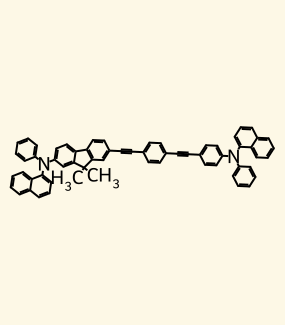 CC1(C)c2cc(C#Cc3ccc(C#Cc4ccc(N(c5ccccc5)c5cccc6ccccc56)cc4)cc3)ccc2-c2ccc(N(c3ccccc3)c3cccc4ccccc34)cc21